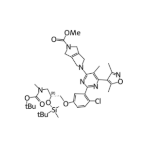 COC(=O)N1CC2=C(C1)CN(c1nc(-c3cc(OC[C@@H](CN(C)C(=O)OC(C)(C)C)O[Si](C)(C)C(C)(C)C)ccc3Cl)nc(-c3c(C)noc3C)c1C)C2